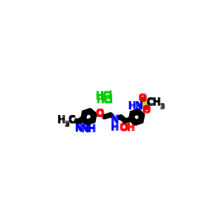 Cc1n[nH]c2cc(OCCNC[C@H](O)c3cccc(NS(C)(=O)=O)c3)ccc12.Cl.Cl